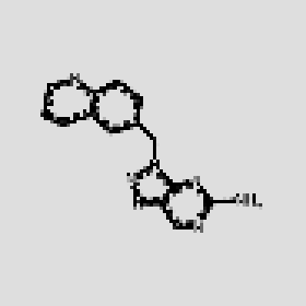 Nc1ncc2nnn(Cc3ccc4ncccc4c3)c2n1